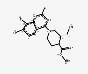 Cc1nc(N2CCN(C(=O)OC(C)(C)C)[C@@H](CC#N)C2)c2cnc(Cl)c(F)c2n1